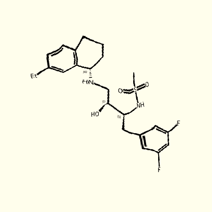 CCc1ccc2c(c1)[C@@H](NC[C@H](O)[C@H](Cc1cc(F)cc(F)c1)NS(C)(=O)=O)CCC2